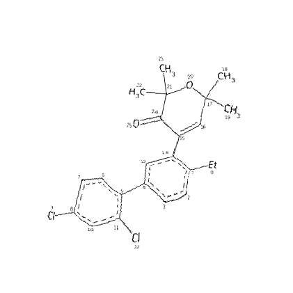 CCc1ccc(-c2ccc(Cl)cc2Cl)cc1C1=CC(C)(C)OC(C)(C)C1=O